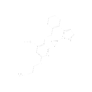 COCCOc1cc(C=O)c(OCC2=C(c3ccnn3C3CC3)CCCC2)cn1